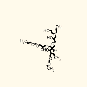 C=CCOCOCC(O)COCC(CC)(COCC(O)CN(CCO)CCO)C(O)C(C=C)COCOC=C